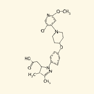 COc1cc(N2CCC(Oc3ccc(N4N=C(C)C(C)C4CC(=O)O)cc3)CC2)c(Cl)cn1